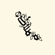 C=CC(=O)Nc1cc(Nc2cc(-c3cccc(NC(=O)c4ccc5c(c4)OCO5)c3C)cn(C)c2=O)ccc1C(=O)N1CCOCC1